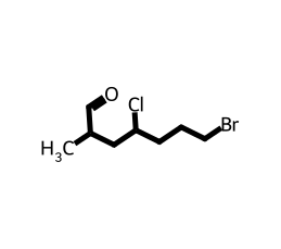 CC(C=O)CC(Cl)CCCBr